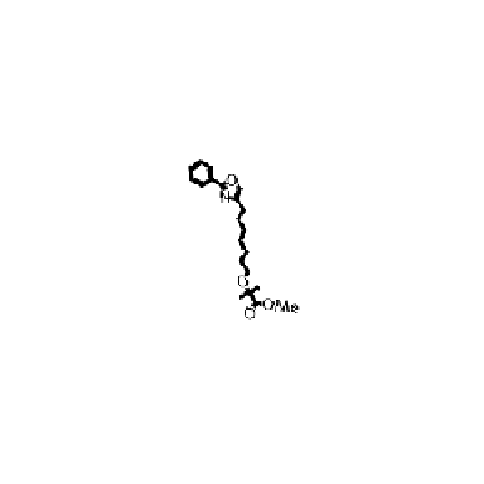 COC(=O)C(C)(C)OCCCCCCCc1coc(-c2ccccc2)n1